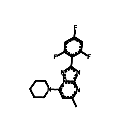 Cc1cc(N2CCCCC2)n2nc(-c3c(F)cc(F)cc3F)nc2n1